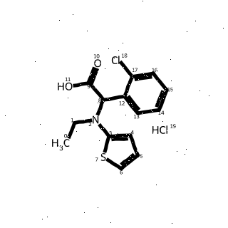 CCN(c1cccs1)C(C(=O)O)c1ccccc1Cl.Cl